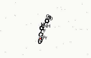 CC(C)CN1C2CCC1CC(N1CCC(c3ccc4nc(-c5ccc(S(C)(=O)=O)cc5)[nH]c4c3F)CC1)C2